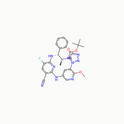 COc1ncc(Nc2nc(N[C@H](c3ccccc3)[C@H](C)NC(=O)OC(C)(C)C)c(F)cc2C#N)cc1-n1ccnn1